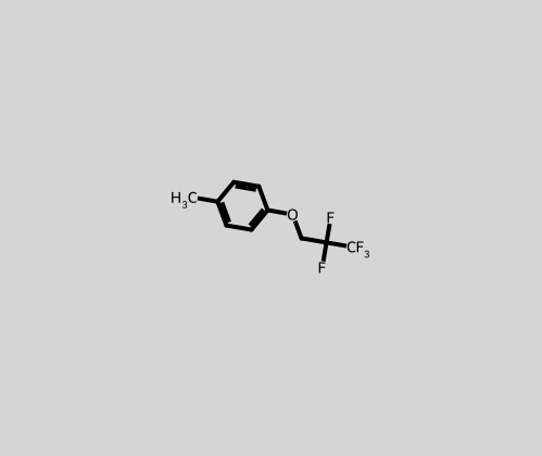 Cc1ccc(OCC(F)(F)C(F)(F)F)cc1